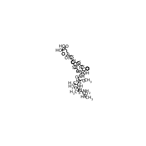 CNC(=O)C[C@H](N)c1nc(C(=O)NC(c2nc(C(=O)NCC(=O)N[C@H](c3nc(-c4nc(-c5nc(-c6nc(N(CCCCC(=O)O)C(=O)[C@@H]7CC[C@@H](C(=O)O)C7)cs6)ccc5-c5nc(C=O)cs5)cs4)cs3)[C@@H](O)c3ccccc3)c(COC)s2)C(C)C)c(C)s1